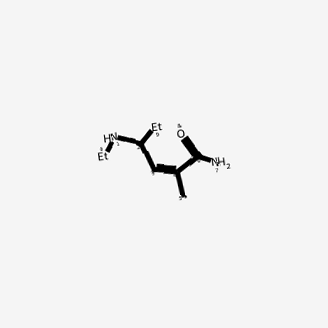 CCNC(C=C(C)C(N)=O)CC